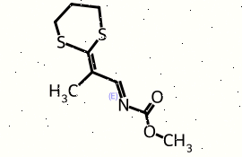 COC(=O)/N=C/C(C)=C1SCCCS1